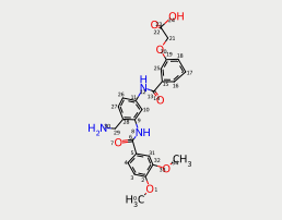 COc1ccc(C(=O)Nc2cc(NC(=O)c3cccc(OCC(=O)O)c3)ccc2CN)cc1OC